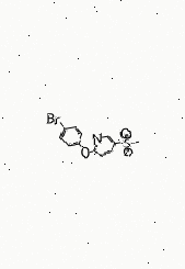 CS(=O)(=O)c1ccc(Oc2ccc(Br)cc2)nc1